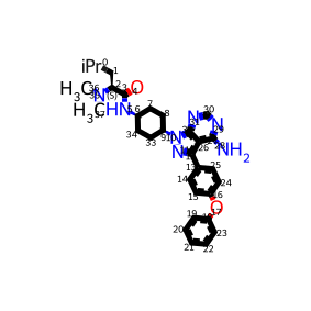 CC(C)C[C@@H](C(=O)N[C@H]1CC[C@@H](n2nc(-c3ccc(Oc4ccccc4)cc3)c3c(N)ncnc32)CC1)N(C)C